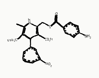 CCOC(=O)C1=C(C)NC(CSC(=O)c2ccc(N)cc2)=C(C(=O)OCC)C1c1cccc([N+](=O)[O-])c1